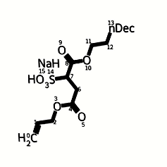 C=CCOC(=O)CC(C(=O)OCCCCCCCCCCCC)S(=O)(=O)O.[NaH]